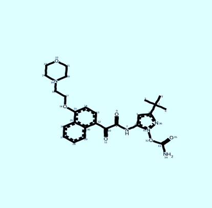 CC(C)(C)c1cc(NC(=O)C(=O)c2ccc(OCCN3CCOCC3)c3ccccc23)n(OC(N)=O)n1